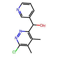 Cc1c(Cl)nnc(C(O)c2cccnc2)c1C